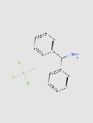 F[B-](F)(F)F.[NH3+]C(c1ccccc1)c1ccccc1